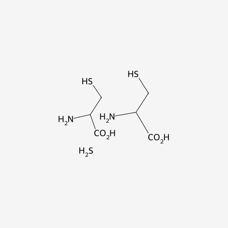 NC(CS)C(=O)O.NC(CS)C(=O)O.S